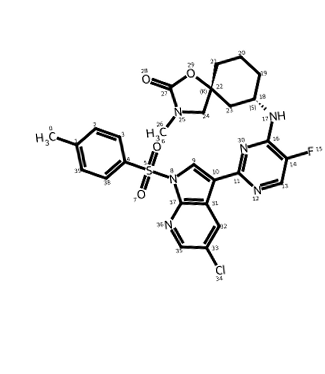 Cc1ccc(S(=O)(=O)n2cc(-c3ncc(F)c(N[C@H]4CCC[C@@]5(C4)CN(C)C(=O)O5)n3)c3cc(Cl)cnc32)cc1